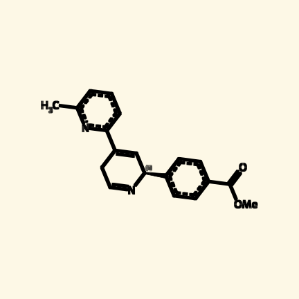 COC(=O)c1ccc([C@@H]2C=C(c3cccc(C)n3)CC=N2)cc1